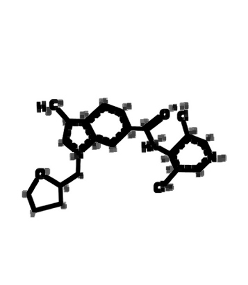 Cc1cn(CC2CCCO2)c2cc(C(=O)Nc3c(Cl)cncc3Cl)ccc12